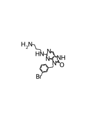 NCCCNc1ncc2[nH]c(=O)n(Cc3cccc(Br)c3)c2n1